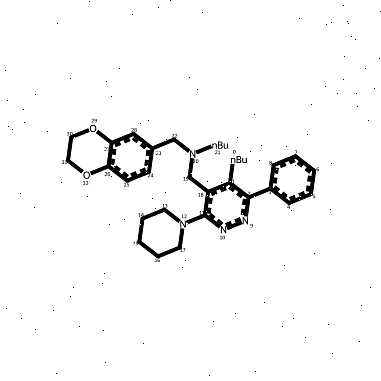 CCCCc1c(-c2ccccc2)nnc(N2CCCCC2)c1CN(CCCC)Cc1ccc2c(c1)OCCO2